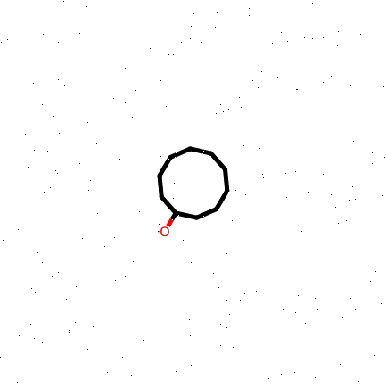 [O]C1CCCCCCCCC1